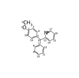 COc1ccc(C(c2ccccc2)c2ccccn2)cc1